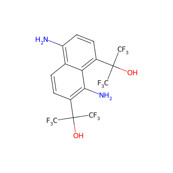 Nc1ccc(C(O)(C(F)(F)F)C(F)(F)F)c2c(N)c(C(O)(C(F)(F)F)C(F)(F)F)ccc12